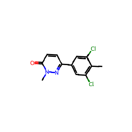 Cc1c(Cl)cc(-c2ccc(=O)n(C)n2)cc1Cl